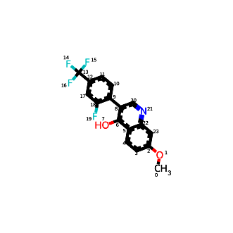 COc1ccc2c(O)c(-c3ccc(C(F)(F)F)cc3F)cnc2c1